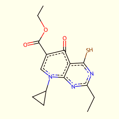 CCOC(=O)c1cn(C2CC2)c2nc(CC)nc(S)c2c1=O